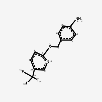 Nc1ccc(CSc2ccc(C(F)(F)F)cn2)cc1